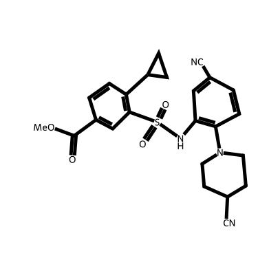 COC(=O)c1ccc(C2CC2)c(S(=O)(=O)Nc2cc(C#N)ccc2N2CCC(C#N)CC2)c1